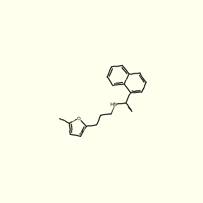 Cc1ccc(CCCNC(C)c2cccc3ccccc23)o1